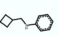 c1ccc(NCC2CCC2)cc1